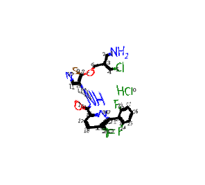 Cl.NCC(CCl)COc1sncc1NC(=O)c1ccc(F)c(-c2c(F)cccc2F)n1